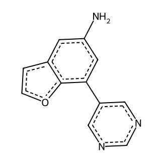 Nc1cc(-c2cncnc2)c2occc2c1